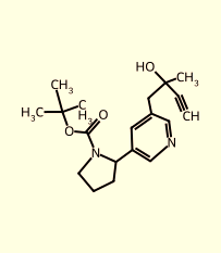 C#CC(C)(O)Cc1cncc(C2CCCN2C(=O)OC(C)(C)C)c1